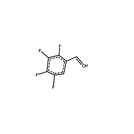 [CH]=Cc1cc(F)c(F)c(F)c1F